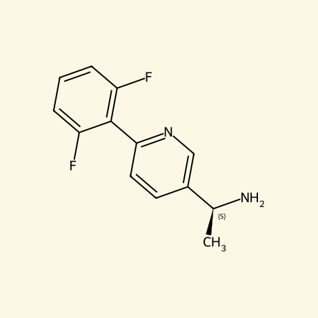 C[C@H](N)c1ccc(-c2c(F)cccc2F)nc1